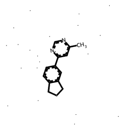 Cc1cc(-c2ccc3c(c2)CCC3)ncn1